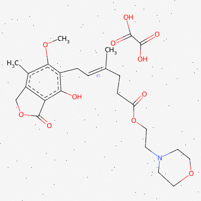 COc1c(C)c2c(c(O)c1C/C=C(\C)CCC(=O)OCCN1CCOCC1)C(=O)OC2.O=C(O)C(=O)O